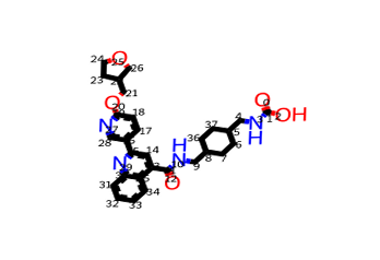 O=C(O)NCC1CCC(CNC(=O)c2cc(-c3ccc(OCC4CCOC4)nc3)nc3ccccc23)CC1